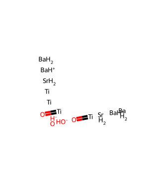 [BaH+].[BaH+].[BaH2].[BaH2].[OH-].[OH-].[O]=[Ti].[O]=[Ti].[SrH2].[SrH2].[Ti].[Ti]